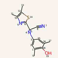 Cc1cc(/N=C(\C#N)c2nc(C)c(C)s2)cc(C)c1O